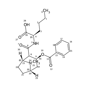 CCCC[C@@H](NC(=O)C1[C@@H](OC(=O)c2ccccc2)C[C@@H]2CC[C@H]1N2C)C(=O)O